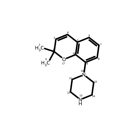 CC1(C)C=Cc2cccc(N3CCNCC3)c2O1